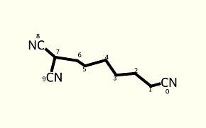 N#CCCCCCCC(C#N)C#N